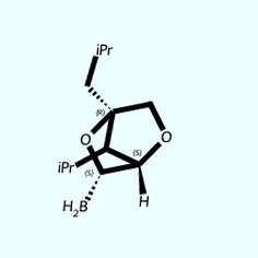 B[C@@H]1O[C@@]2(CC(C)C)CO[C@H]1C2C(C)C